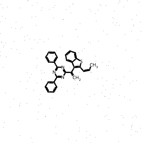 C=C(c1nc(-c2ccccc2)nc(-c2ccccc2)n1)c1c(/C=C\C)sc2ccccc12